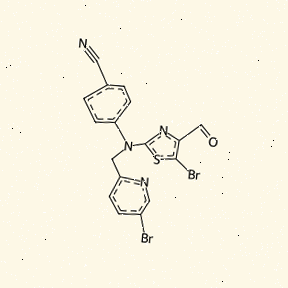 N#Cc1ccc(N(Cc2ccc(Br)cn2)c2nc(C=O)c(Br)s2)cc1